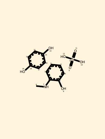 CNc1ccccc1O.O=S(=O)(O)O.Oc1ccc(O)cc1